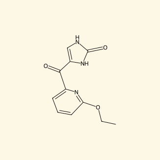 CCOc1cccc(C(=O)c2c[nH]c(=O)[nH]2)n1